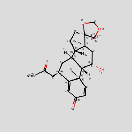 COC(=O)C[C@H]1C[C@@H]2[C@H]([C@@H](O)C[C@@]3(C)[C@H]2CC[C@@]32OCOC23COCO3)[C@@]2(C)C=CC(=O)C=C12